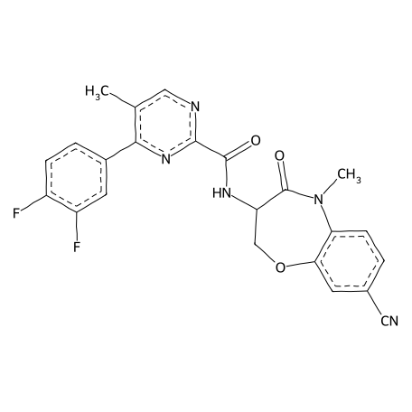 Cc1cnc(C(=O)NC2COc3cc(C#N)ccc3N(C)C2=O)nc1-c1ccc(F)c(F)c1